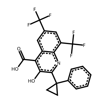 O=C(O)c1c(O)c(C2(c3ccccc3)CC2)nc2c(C(F)(F)F)cc(C(F)(F)F)cc12